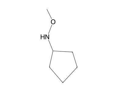 CONC1CCCC1